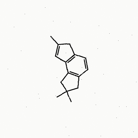 CC1=Cc2c(ccc3c2CC(C)(C)C3)C1